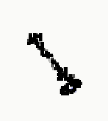 O=C(O)CCOCCOCCOCCOCCNC(=O)CCC(=O)N1Cc2ccccc2/C=C\c2ccccc21